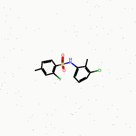 Cc1ccc(S(=O)(=O)Nc2cccc(Cl)c2C)c(F)c1